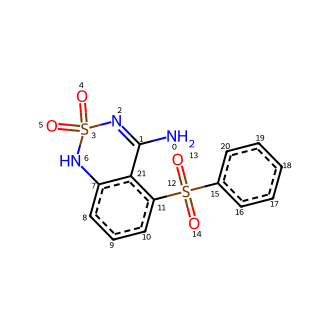 NC1=NS(=O)(=O)Nc2cccc(S(=O)(=O)c3ccccc3)c21